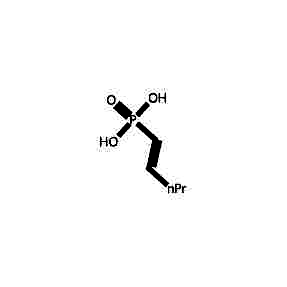 CCCC=CP(=O)(O)O